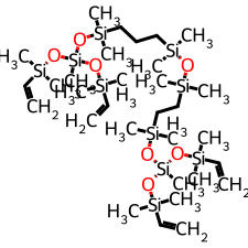 C=C[Si](C)(C)O[Si](C)(O[Si](C)(C)C=C)O[Si](C)(C)CCC[Si](C)(C)O[Si](C)(C)CC[Si](C)(C)O[Si](C)(O[Si](C)(C)C=C)O[Si](C)(C)C=C